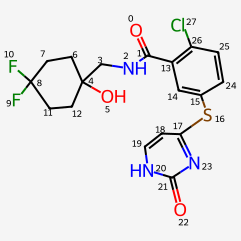 O=C(NCC1(O)CCC(F)(F)CC1)c1cc(Sc2cc[nH]c(=O)n2)ccc1Cl